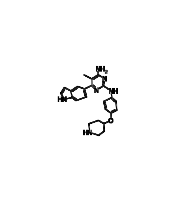 Cc1c(N)nc(Nc2ccc(OC3CCNCC3)cc2)nc1-c1ccc2[nH]ccc2c1